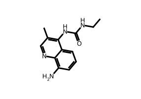 CCNC(=O)Nc1c(C)cnc2c(N)cccc12